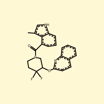 Cc1c[nH]c2cccc(C(=O)N3CCC(F)(F)C(Oc4ccc5ccccc5n4)C3)c12